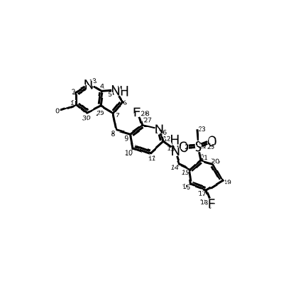 Cc1cnc2[nH]cc(Cc3ccc(NCc4cc(F)ccc4S(C)(=O)=O)nc3F)c2c1